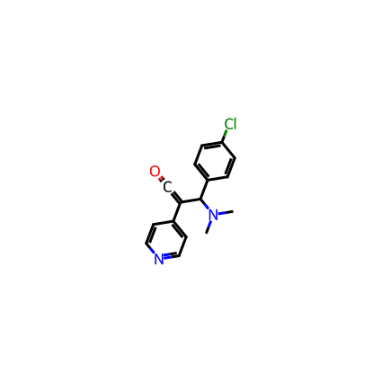 CN(C)C(C(=C=O)c1ccncc1)c1ccc(Cl)cc1